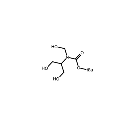 CC(C)(C)OC(=O)N(CO)C(CO)CO